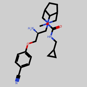 CN(C(=O)NCC1CC1)C1C2CCC1CN(C[C@H](N)COc1ccc(C#N)cc1)C2